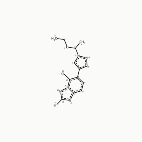 CCOC(C)n1cc(-c2ccc3nc(Br)nn3c2Cl)cn1